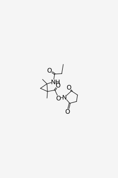 CCC(=O)NC1(C)CC1(C)C(=O)ON1C(=O)CCC1=O